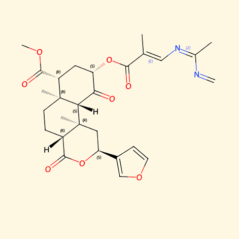 C=N/C(C)=N\C=C(/C)C(=O)O[C@H]1C[C@@H](C(=O)OC)[C@]2(C)CC[C@H]3C(=O)O[C@H](c4ccoc4)C[C@]3(C)[C@H]2C1=O